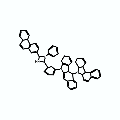 C1=CC2C=Cc3cc(C4NC(C5C=CC=C(N6C7=Cc8ccccc8C(N8C9C=Cc%10ccccc%10C9C9C=CCCC98)C7C7=C6CCC=C7)C5)N4c4ccccc4)ccc3C2C=C1